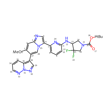 COc1cc2ncc(-c3cccc(NC4CN(C(=O)OC(C)(C)C)CC4(F)F)n3)n2cc1-c1cnn2ncccc12